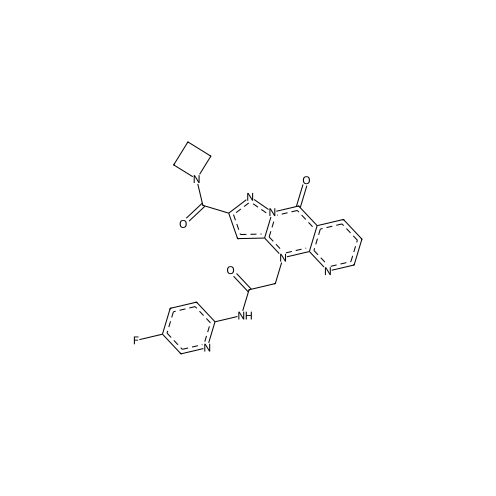 O=C(Cn1c2ncccc2c(=O)n2nc(C(=O)N3CCC3)cc12)Nc1ccc(F)cn1